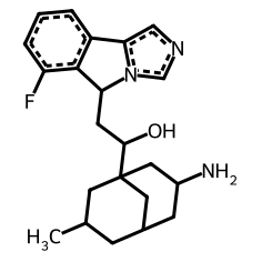 CC1CC2CC(N)CC(C(O)CC3c4c(F)cccc4-c4cncn43)(C1)C2